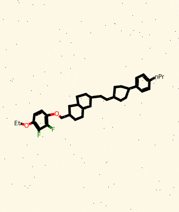 CCCc1ccc(C2CCC(CCC3CCC4CC(COc5ccc(OCC)c(F)c5F)CCC4C3)CC2)cc1